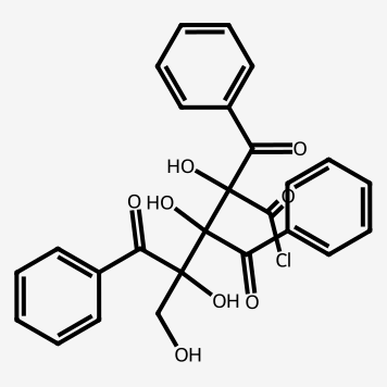 O=C(c1ccccc1)C(O)(CO)C(O)(C(=O)c1ccccc1)C(O)(C(=O)Cl)C(=O)c1ccccc1